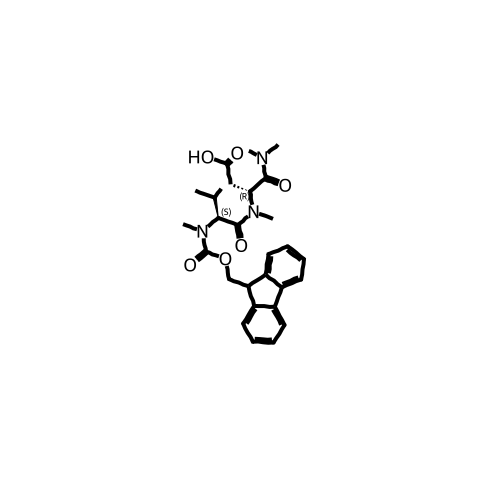 CC(C)[C@@H](C(=O)N(C)[C@H](CC(=O)O)C(=O)N(C)C)N(C)C(=O)OCC1c2ccccc2-c2ccccc21